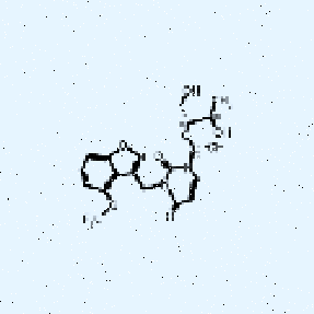 C[C@@H](O)[C@@H](CO)O[C@H](O)n1ccc(=O)n(Cc2noc3cccc(OC(F)(F)F)c23)c1=O